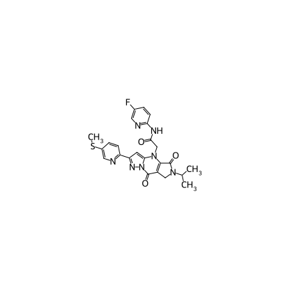 CSc1ccc(-c2cc3n(CC(=O)Nc4ccc(F)cn4)c4c(c(=O)n3n2)CN(C(C)C)C4=O)nc1